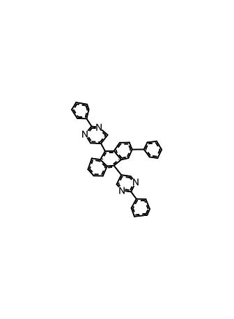 c1ccc(-c2ccc3c(-c4cnc(-c5ccccc5)nc4)c4ccccc4c(-c4cnc(-c5ccccc5)nc4)c3c2)cc1